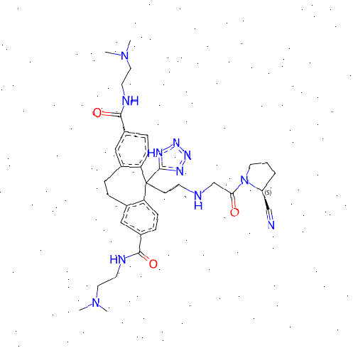 CN(C)CCNC(=O)c1ccc2c(c1)CCc1cc(C(=O)NCCN(C)C)ccc1C2(CCNCC(=O)N1CCC[C@H]1C#N)c1nnn[nH]1